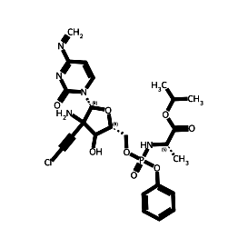 C=Nc1ccn([C@@H]2O[C@H](COP(=O)(N[C@@H](C)C(=O)OC(C)C)Oc3ccccc3)C(O)C2(N)C#CCl)c(=O)n1